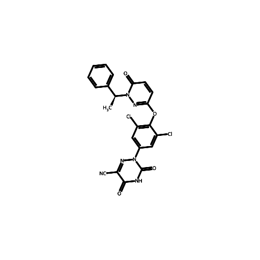 C[C@@H](c1ccccc1)n1nc(Oc2c(Cl)cc(-n3nc(C#N)c(=O)[nH]c3=O)cc2Cl)ccc1=O